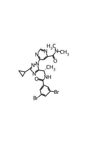 C[C@H](NC(=O)c1cc(Br)cc(Br)c1)c1nc(C2CC2)nn1-c1cc(C(=O)N(C)C)ncn1